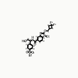 CCn1c(OCC2CC(F)(F)C2)nc2cc(C(=O)NC(CO)c3ccc(S(=O)(=O)CC)cc3)ccc21